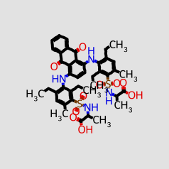 CCc1cc(C)c(S(=O)(=O)NC(C)C(=O)O)c(CC)c1Nc1ccc(Nc2c(CC)cc(C)c(S(=O)(=O)NC(C)C(=O)O)c2CC)c2c1C(=O)c1ccccc1C2=O